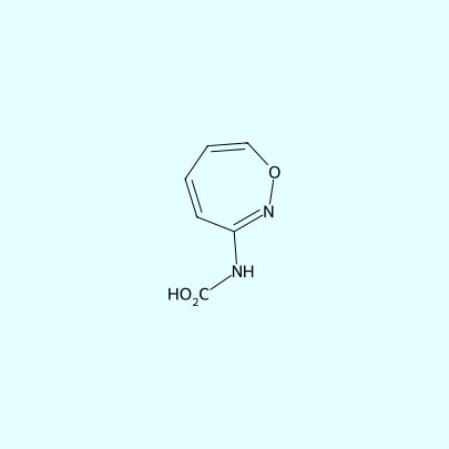 O=C(O)NC1=NOC=CC=C1